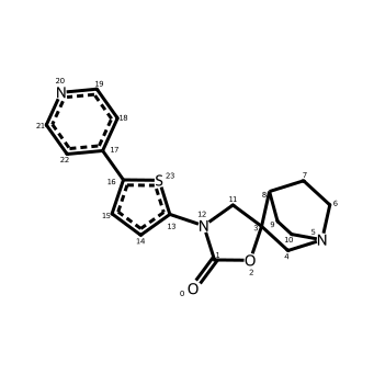 O=C1OC2(CN3CCC2CC3)CN1c1ccc(-c2ccncc2)s1